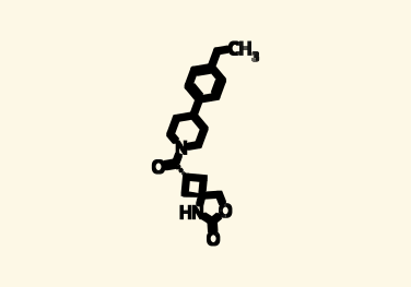 CCc1ccc(C2CCN(C(=O)[C@H]3C[C@]4(COC(=O)N4)C3)CC2)cc1